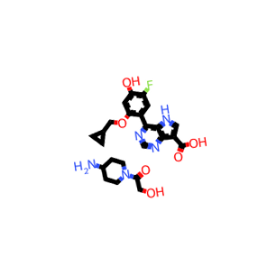 NC1CCN(C(=O)CO)CC1.O=C(O)c1c[nH]c2c(-c3cc(F)c(O)cc3OCC3CC3)ncnc12